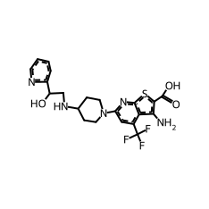 Nc1c(C(=O)O)sc2nc(N3CCC(NCC(O)c4ccccn4)CC3)cc(C(F)(F)F)c12